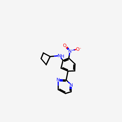 O=[N+]([O-])c1ccc(-c2ncccn2)cc1NC1CCC1